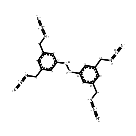 [N-]=[N+]=NCc1cc(CN=[N+]=[N-])cc(OOc2cc(CN=[N+]=[N-])cc(CN=[N+]=[N-])c2)c1